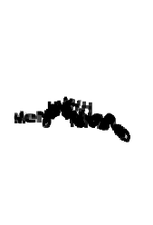 CNC(=O)N1CCC(Nc2ccc(-c3ncnc(Nc4ccc(N5CCN(C6COC6)CC5)cc4)n3)cc2N)CC1